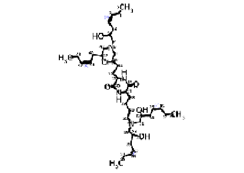 CC/C=C\CC(O)CN(CCCCC1NC(=O)C(CCCCN(CC(O)C/C=C\CC)CC(O)C/C=C\CC)NC1=O)CC(O)C/C=C\CC